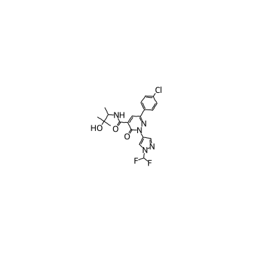 CC(NC(=O)c1cc(-c2ccc(Cl)cc2)nn(-c2cnn(C(F)F)c2)c1=O)C(C)(C)O